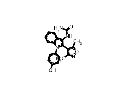 Cc1noc(C)c1-c1c(NC(N)=O)c2ccccc2n1-c1ccc(O)cc1